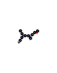 C[Si](C)(C)c1ccc(-c2ccc(N(c3ccc(-c4ccccc4)cc3)c3ccc(-c4ccc5c(c4)c4ccccc4n5-c4ccc(-c5ccc6c(c5)oc5ccccc56)cc4)cc3)cc2)cc1